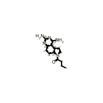 CCCC(=O)n1ccc2c3c(N)nc(N)nc3ccc21